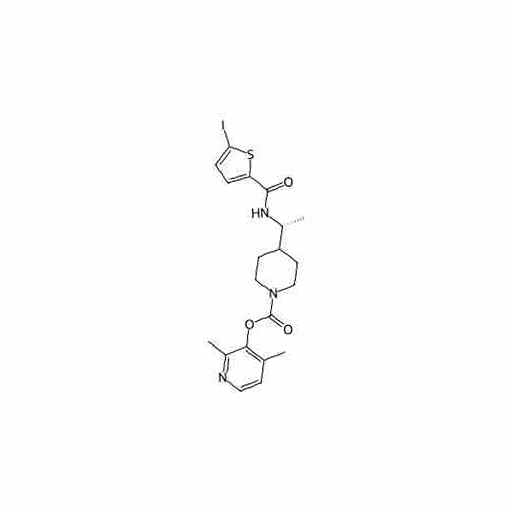 Cc1ccnc(C)c1OC(=O)N1CCC([C@@H](C)NC(=O)c2ccc(I)s2)CC1